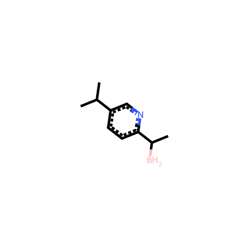 BC(C)c1ccc(C(C)C)cn1